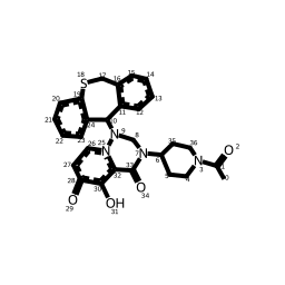 CC(=O)N1CCC(N2CN(C3c4ccccc4CSc4ccccc43)n3ccc(=O)c(O)c3C2=O)CC1